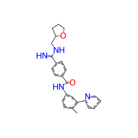 Cc1ccc(NC(=O)c2ccc(C(=N)NCC3CCCO3)cc2)cc1-c1ccccn1